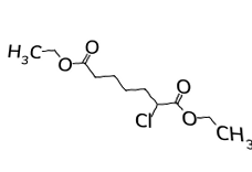 CCOC(=O)CCCCC(Cl)C(=O)OCC